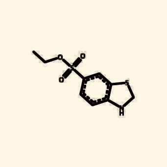 CCOS(=O)(=O)c1ccc2c(c1)SCN2